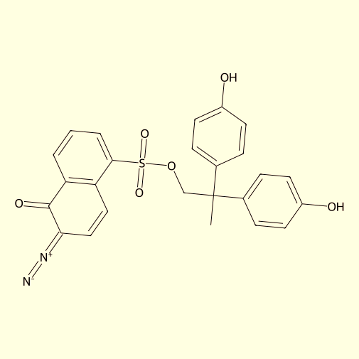 CC(COS(=O)(=O)c1cccc2c1C=CC(=[N+]=[N-])C2=O)(c1ccc(O)cc1)c1ccc(O)cc1